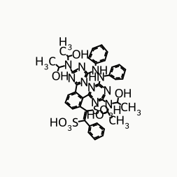 CC(O)N(c1nc(Nc2ccccc2)nc(-c2cccc(C(=C(c3ccccc3)S(=O)(=O)O)S(=O)(=O)O)c2-c2nc(Nc3ccccc3)nc(N(C(C)O)C(C)O)n2)n1)C(C)O